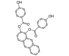 O=C(Oc1ccc2cc3ccccc3cc2c1OC(=O)c1ccc(O)cc1)c1ccc(O)cc1